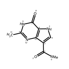 CNC(=O)c1c[nH]c2c(=O)[nH]c(C)nc12